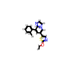 CCOc1ncc(-c2cc(-c3ccccc3C)c3nccn3c2)s1